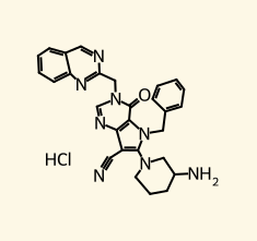 Cl.N#Cc1c(N2CCCC(N)C2)n(Cc2ccccc2)c2c(=O)n(Cc3ncc4ccccc4n3)cnc12